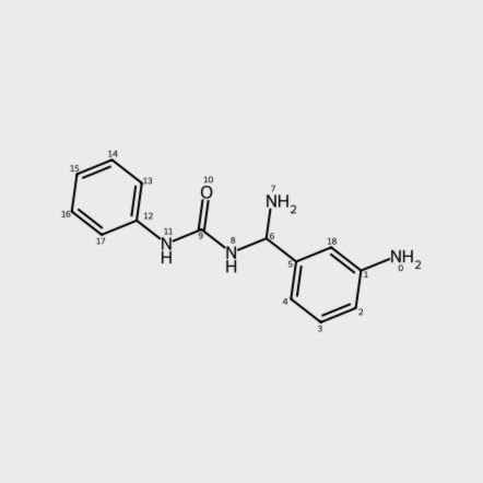 Nc1cccc(C(N)NC(=O)Nc2ccccc2)c1